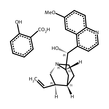 C=C[C@H]1C[N@]2CC[C@H]1C[C@H]2[C@H](O)c1ccnc2ccc(OC)cc12.O=C(O)c1ccccc1O